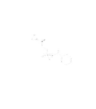 CC(C1CCCCC1)C1CC1(C)COC(=O)C1CC1